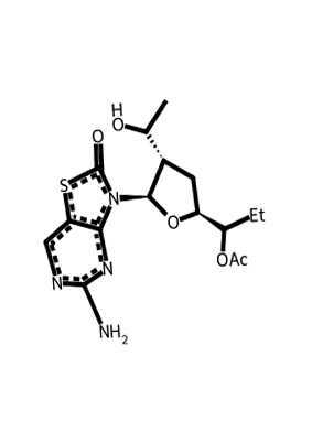 CCC(OC(C)=O)[C@@H]1C[C@@H](C(C)O)[C@H](n2c(=O)sc3cnc(N)nc32)O1